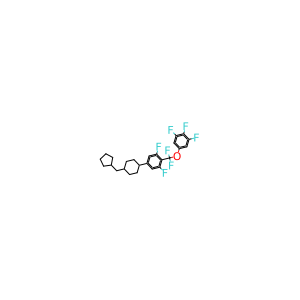 Fc1cc(OC(F)(F)c2c(F)cc(C3CCC(CC4CCCC4)CC3)cc2F)cc(F)c1F